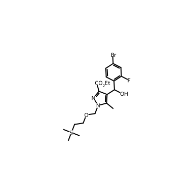 CCOC(=O)c1nn(COCC[Si](C)(C)C)c(C)c1C(O)c1ccc(Br)cc1F